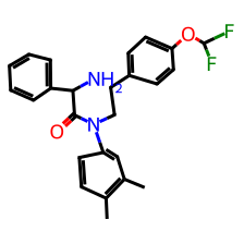 Cc1ccc(N(CCc2ccc(OC(F)F)cc2)C(=O)C(N)c2ccccc2)cc1C